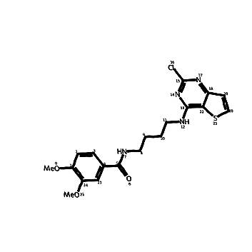 COc1ccc(C(=O)NCCCCNc2nc(Cl)nc3ccsc23)cc1OC